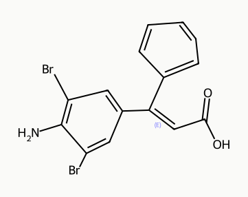 Nc1c(Br)cc(/C(=C/C(=O)O)c2ccccc2)cc1Br